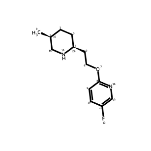 C[C@H]1CC[C@@H](CCOc2ccc(F)cn2)NC1